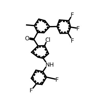 Cc1ccc(-c2cc(F)c(F)c(F)c2)cc1C(=O)c1ccc(Nc2ccc(F)cc2F)cc1Cl